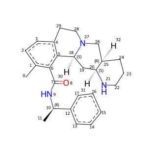 Cc1ccc2c(c1C(=O)N[C@H](C)c1ccccc1)[C@@H]1C[C@@H]3NCCC[C@@H]3CN1CC2